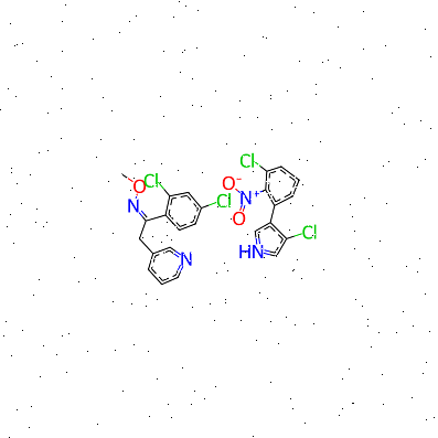 CO/N=C(/Cc1cccnc1)c1ccc(Cl)cc1Cl.O=[N+]([O-])c1c(Cl)cccc1-c1c[nH]cc1Cl